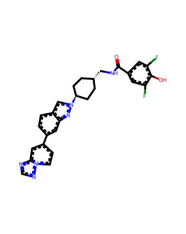 O=C(NC[C@H]1CC[C@H](n2cc3ccc(-c4ccn5ncnc5c4)cc3n2)CC1)c1cc(F)c(O)c(F)c1